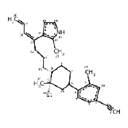 C#Cc1ccc(C2CC[C@@H](CCC/C(=C/C=C)c3cc[nH]c3C)[C@@](C)(CC)C2)c(C)c1